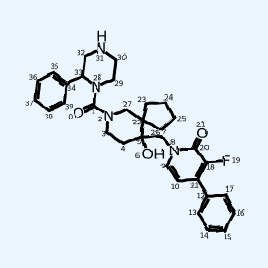 O=C(N1CCC(O)(Cn2ccc(-c3ccccc3)c(F)c2=O)C2(CCCC2)C1)N1CCNCC1c1ccccc1